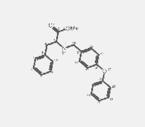 COC(=O)C(Cc1ccccc1)NCc1ccc(Oc2ccccc2)cc1